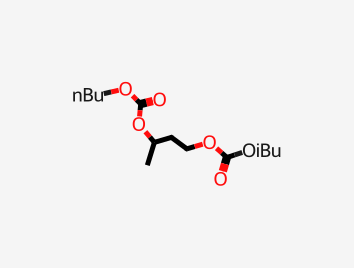 CCCCOC(=O)OC(C)CCOC(=O)OCC(C)C